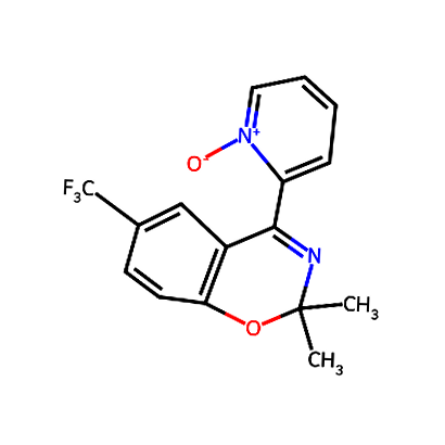 CC1(C)N=C(c2cccc[n+]2[O-])c2cc(C(F)(F)F)ccc2O1